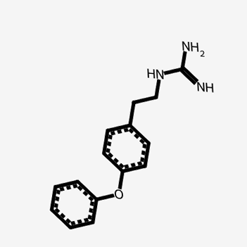 N=C(N)NCCc1ccc(Oc2ccccc2)cc1